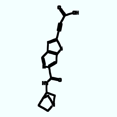 O=C(O)C#Cc1cc2cnc(C(=O)NC3CN4CCC3C4)cc2s1